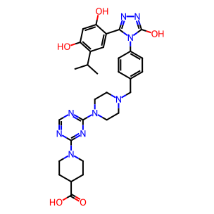 CC(C)c1cc(-c2nnc(O)n2-c2ccc(CN3CCN(c4ncnc(N5CCC(C(=O)O)CC5)n4)CC3)cc2)c(O)cc1O